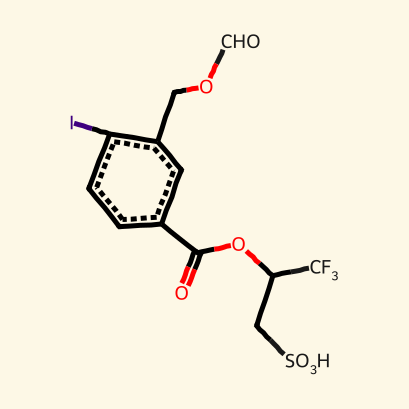 O=COCc1cc(C(=O)OC(CS(=O)(=O)O)C(F)(F)F)ccc1I